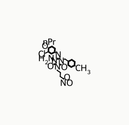 CCCOc1ccc(/N=c2\n(N)c(=O)n(CCCC(=O)N=O)c(=O)n2Cc2ccc(C)cc2)cc1Cl